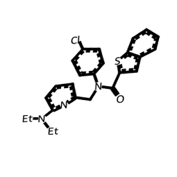 CCN(CC)c1cccc(CN(C(=O)c2cc3ccccc3s2)c2ccc(Cl)cc2)n1